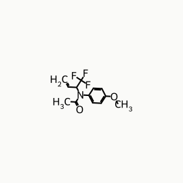 C=CC(N(C(C)=O)c1ccc(OC)cc1)C(F)(F)F